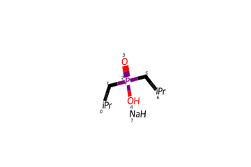 CC(C)CP(=O)(O)CC(C)C.[NaH]